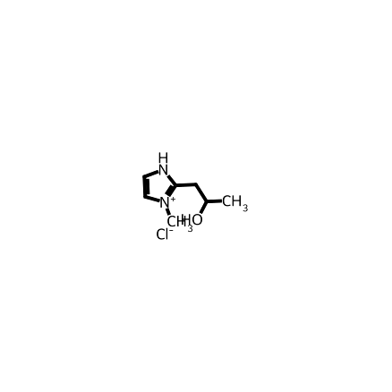 CC(O)Cc1[nH]cc[n+]1C.[Cl-]